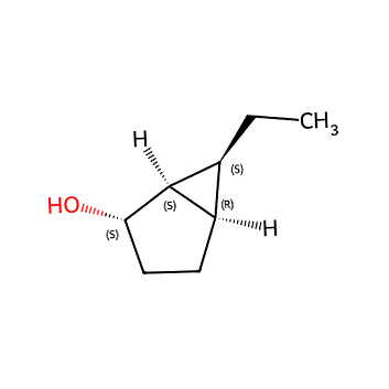 CC[C@H]1[C@H]2CC[C@H](O)[C@H]21